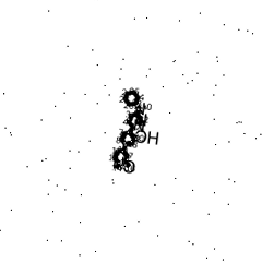 CN(c1ccc(-c2ccc(-c3ccn(C)c(=O)c3)cc2O)nn1)C1CCCCC1